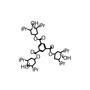 CC(C)C1CC(OC(=O)c2cc(C(=O)OC3CC(C(C)C)N(O)C(C(C)C)C3)cc(C(=O)OC3CC(C(C)C)N(O)C(C(C)C)C3)c2)CC(C(C)C)N1O